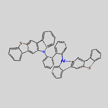 c1ccc(-n2c3ccccc3c3cc4sc5ccccc5c4cc32)c(-c2ccccc2-n2c3ccccc3c3cc4sc5ccccc5c4cc32)c1